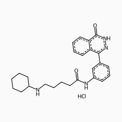 Cl.O=C(CCCCNC1CCCCC1)Nc1cccc(-c2n[nH]c(=O)c3ccccc23)c1